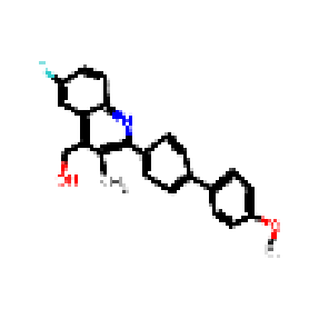 CCOc1ccc(-c2ccc(-c3nc4ccc(F)cc4c(CO)c3C)cc2)cc1